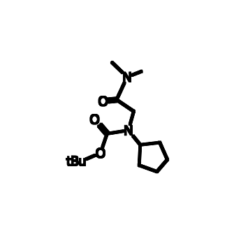 CN(C)C(=O)CN(C(=O)OC(C)(C)C)C1CCCC1